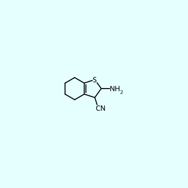 N#CC1C2=C(CCCC2)SC1N